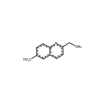 CC(C)COCc1ccc2cc(C(=O)O)ccc2n1